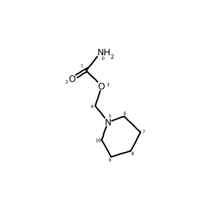 NC(=O)OCN1CCCCC1